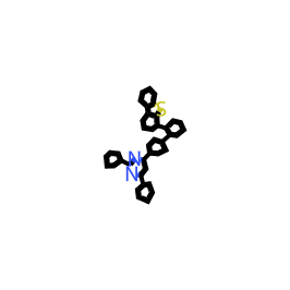 c1ccc(-c2cc(-c3ccc(-c4ccccc4-c4cccc5c4sc4ccccc45)cc3)nc(-c3ccccc3)n2)cc1